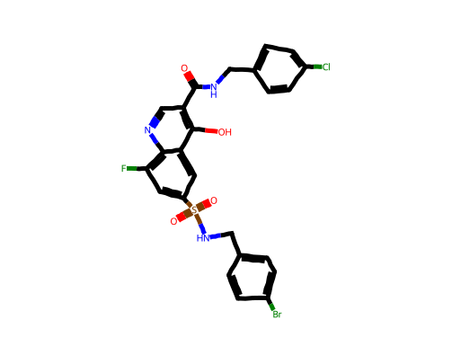 O=C(NCc1ccc(Cl)cc1)c1cnc2c(F)cc(S(=O)(=O)NCc3ccc(Br)cc3)cc2c1O